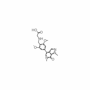 COc1cc(-c2cn(C)c(=O)c3c2cnn3C)cc(OC)c1CNCC(=O)O